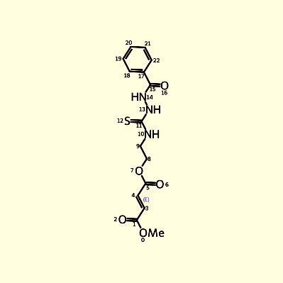 COC(=O)/C=C/C(=O)OCCNC(=S)NNC(=O)c1ccccc1